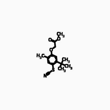 COC(=O)COc1cc(C(C)(C)C)c(SC#N)cc1C